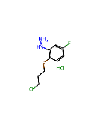 Cl.NNc1cc(F)ccc1SCCCCl